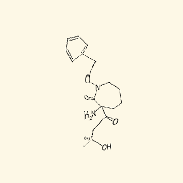 C[C@@H](O)CC(=O)C1(N)CCCCN(OCc2ccccc2)C1=O